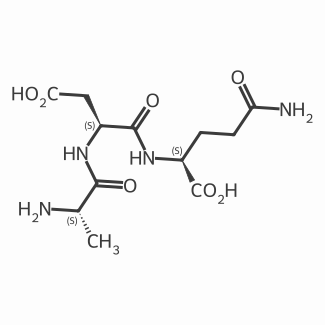 C[C@H](N)C(=O)N[C@@H](CC(=O)O)C(=O)N[C@@H](CCC(N)=O)C(=O)O